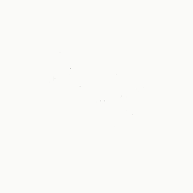 CCOS(=O)(=O)CC1CC(F)(F)C1